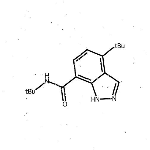 CC(C)(C)NC(=O)c1ccc(C(C)(C)C)c2cn[nH]c12